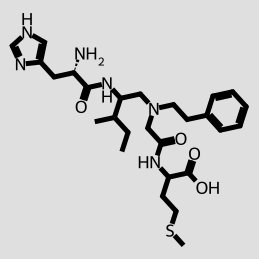 CCC(C)C(CN(CCc1ccccc1)CC(=O)NC(CCSC)C(=O)O)NC(=O)[C@@H](N)Cc1c[nH]cn1